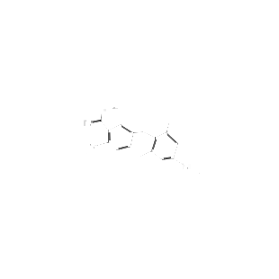 CCCCCC(=N)c1cc(Cc2c(C)cc(N)cc2C)ccc1N